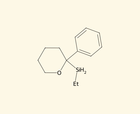 CC[SiH2]C1(c2ccccc2)CCCCO1